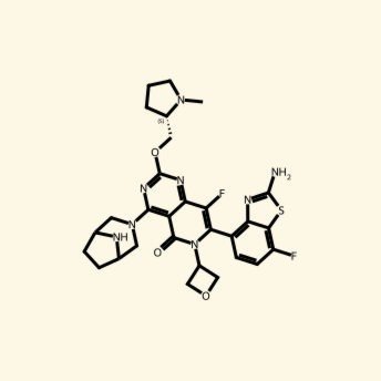 CN1CCC[C@H]1COc1nc(N2CC3CCC(C2)N3)c2c(=O)n(C3COC3)c(-c3ccc(F)c4sc(N)nc34)c(F)c2n1